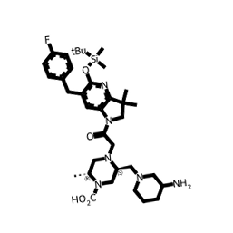 C[C@@H]1CN(CC(=O)N2CC(C)(C)c3nc(O[Si](C)(C)C(C)(C)C)c(Cc4ccc(F)cc4)cc32)[C@@H](CN2CCCC(N)C2)CN1C(=O)O